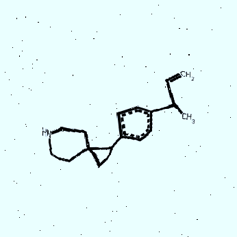 C=CC(C)c1ccc(C2CC23CCNCC3)cc1